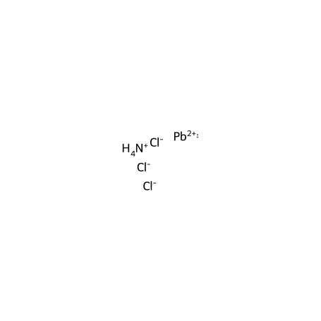 [Cl-].[Cl-].[Cl-].[NH4+].[Pb+2]